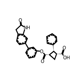 O=C1Cc2ccc(-c3cccc(OC(=O)[C@H]4C[C@@H](C(=O)O)[C@H]4c4ccccc4)c3)cc2N1